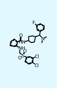 CN(C)C(c1cccc(F)c1)C1CCC(NC(=O)c2ccccc2NCS(=O)(=O)c2ccc(Cl)c(Cl)c2)CC1